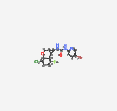 O=C(Nc1ccc(Br)cn1)NC1C2COc3c(Cl)ccc(F)c3C21